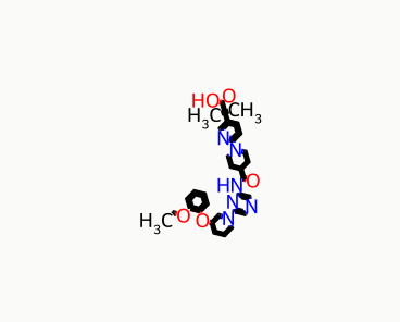 CCOc1ccccc1OC1CCCN(c2cncc(NC(=O)C3CCN(c4ccc(C(C)(C)C(=O)O)cn4)CC3)n2)C1